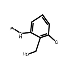 CC(C)Nc1cccc(Cl)c1CO